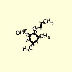 CC=COc1c(C)cc(C)cc1C=O